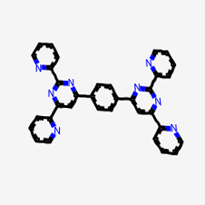 c1ccc(-c2cc(-c3ccc(-c4cc(-c5ccccn5)nc(-c5ccccn5)n4)cc3)nc(-c3ccccn3)n2)nc1